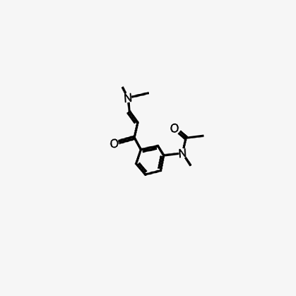 CC(=O)N(C)c1cccc(C(=O)/C=C/N(C)C)c1